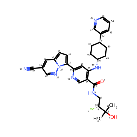 CC(C)(O)[C@H](F)CNC(=O)c1cnc(-c2ccc3cc(C#N)cnn23)cc1N[C@H]1CC[C@H](c2cccnc2)CC1